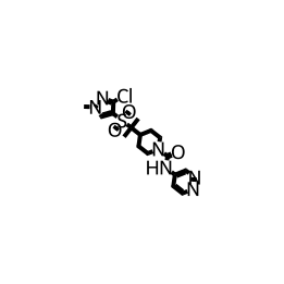 Cn1cc(S(=O)(=O)C(C)(C)C2CCN(C(=O)Nc3ccnnc3)CC2)c(Cl)n1